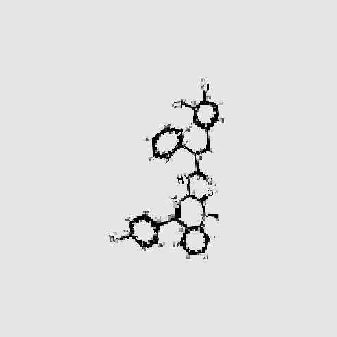 CN1C(=O)C(NC(=O)C(Cc2ccc(Cl)c(Cl)c2)c2ccccc2)N=C(c2ccc(Br)cc2)c2ccccc21